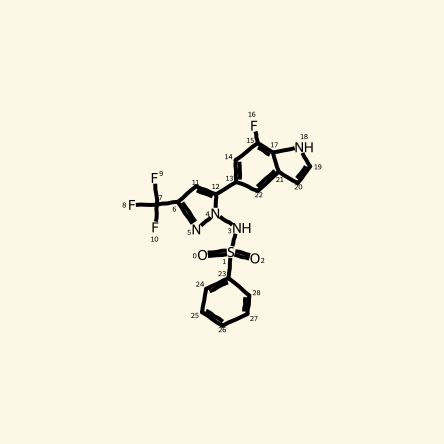 O=S(=O)(Nn1nc(C(F)(F)F)cc1-c1cc(F)c2[nH]ccc2c1)c1ccccc1